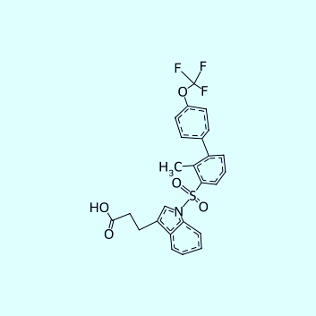 Cc1c(-c2ccc(OC(F)(F)F)cc2)cccc1S(=O)(=O)n1cc(CCC(=O)O)c2ccccc21